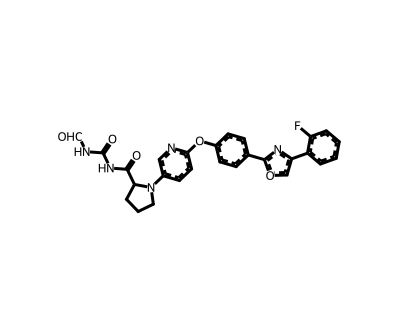 O=CNC(=O)NC(=O)C1CCCN1c1ccc(Oc2ccc(-c3nc(-c4ccccc4F)co3)cc2)nc1